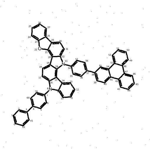 c1ccc(-c2ccc(-n3c4ccccc4c4c3ccc3c5c6oc7ccccc7c6ccc5n(-c5ccc(-c6ccc7c8ccccc8c8ccccc8c7c6)cc5)c34)cc2)cc1